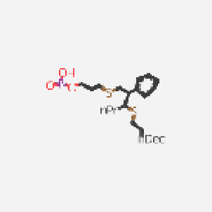 CCCCCCCCCCCCSC(CCC)C(CSCCCO[P](=O)O)c1ccccc1